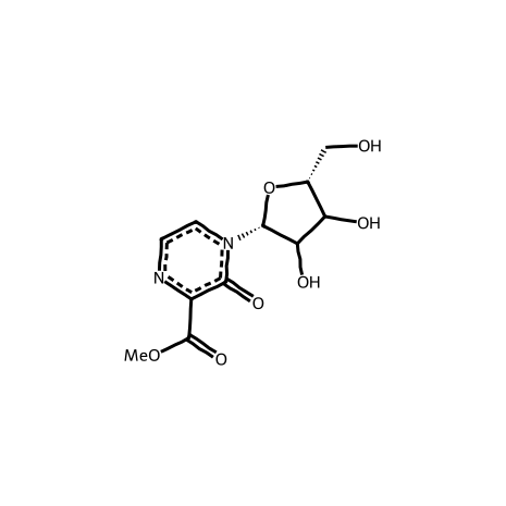 COC(=O)c1nccn([C@@H]2O[C@H](CO)C(O)C2O)c1=O